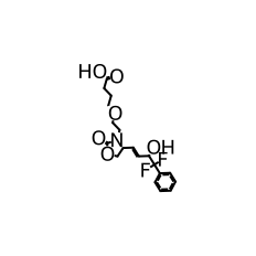 O=C(O)CCCOCCN1C(=O)OCC1/C=C/C(O)C(F)(F)c1ccccc1